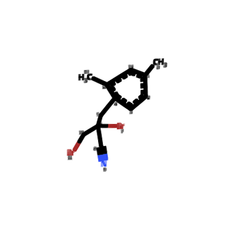 Cc1ccc(CC(Br)(C#N)CBr)c(C)c1